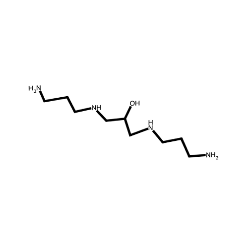 NCCCNCC(O)CNCCCN